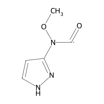 CON([C]=O)c1cc[nH]n1